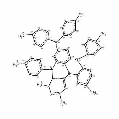 CC1=CC(C)C2C(=C1)B1c3cc(C)ccc3N(c3ccc(C)cc3)c3cc(N(c4ccc(C)cc4)c4ccc(C)cc4)cc(c31)N2c1ccc(C)cc1